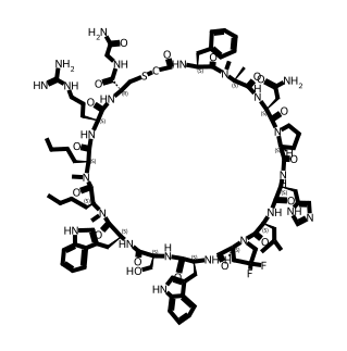 CCCC[C@H]1C(=O)N(C)[C@@H](CCCC)C(=O)N[C@@H](CCCNC(=N)N)C(=O)N[C@H](C(=O)NCC(N)=O)CSCC(=O)N[C@@H](Cc2ccccc2)C(=O)N(C)[C@@H](C)C(=O)N[C@@H](CC(N)=O)C(=O)N2CCC[C@H]2C(=O)N[C@@H](Cc2cnc[nH]2)C(=O)N[C@@H](CC(C)C)C(=O)N2CC(F)(F)C[C@H]2C(=O)N[C@@H](Cc2c[nH]c3ccccc23)C(=O)N[C@@H](CO)C(=O)N[C@@H](Cc2c[nH]c3ccccc23)C(=O)N1C